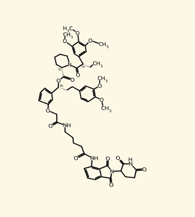 CC[C@H](C(=O)N1CCCC[C@H]1C(=O)O[C@H](CCc1ccc(OC)c(OC)c1)c1cccc(OCC(=O)NCCCCC(=O)Nc2cccc3c2C(=O)N(C2CCC(=O)NC2=O)C3=O)c1)c1cc(OC)c(OC)c(OC)c1